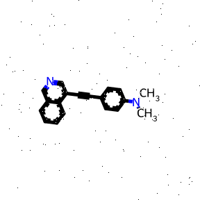 CN(C)c1ccc(C#Cc2cncc3ccccc23)cc1